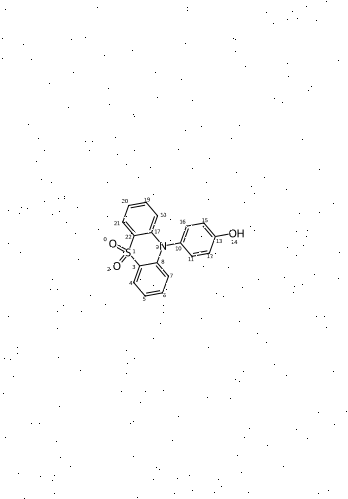 O=S1(=O)c2ccccc2N(c2ccc(O)cc2)c2ccccc21